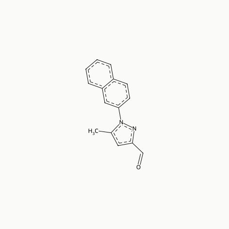 Cc1cc(C=O)nn1-c1ccc2ccccc2c1